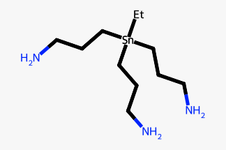 C[CH2][Sn]([CH2]CCN)([CH2]CCN)[CH2]CCN